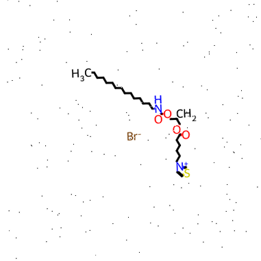 C=C(COC(=O)CCCCC[n+]1ccsc1)COC(=O)NCCCCCCCCCCCCCCC.[Br-]